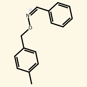 Cc1ccc(CO/N=[C]\c2ccccc2)cc1